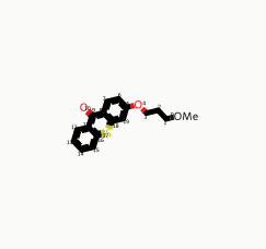 COCCCOc1ccc2c(=O)c3ccccc3sc2c1